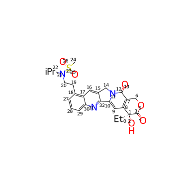 CC[C@@]1(O)C(=O)OCc2c1cc1n(c2=O)Cc2cc3c(CCN(C(C)C)S(C)(=O)=O)cccc3nc2-1